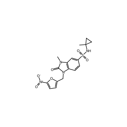 Cn1c(=O)n(Cc2ccc([N+](=O)[O-])o2)c2ccc(S(=O)(=O)NC3(C)CC3)cc21